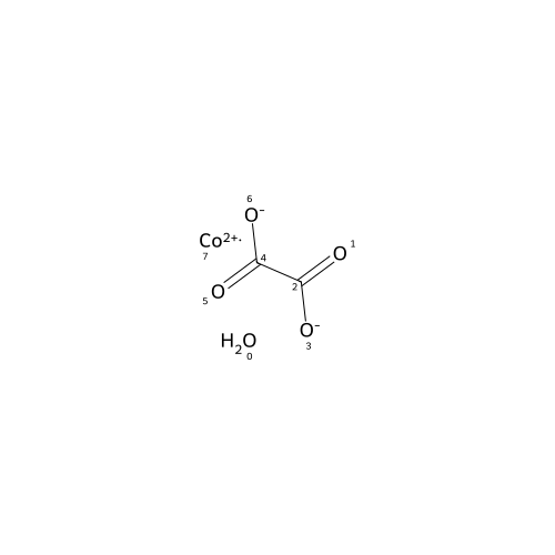 O.O=C([O-])C(=O)[O-].[Co+2]